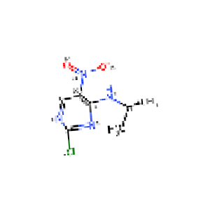 CC(C)Nc1nc(Cl)ncc1[N+](=O)[O-]